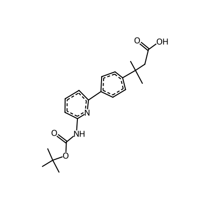 CC(C)(C)OC(=O)Nc1cccc(-c2ccc(C(C)(C)CC(=O)O)cc2)n1